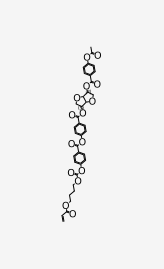 C=CC(=O)OCCCCOC(=O)Oc1ccc(C(=O)Oc2ccc(C(=O)O[C@H]3COC4C3OC[C@H]4OC(=O)c3ccc(OC(C)=O)cc3)cc2)cc1